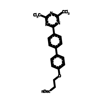 CCCCCCCCCCCCOc1ccc(-c2ccc(-c3nc(C(Cl)(Cl)Cl)nc(C(Cl)(Cl)Cl)n3)cc2)cc1